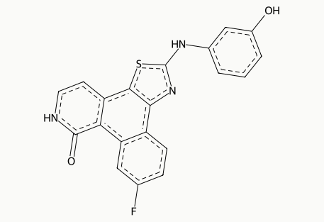 O=c1[nH]ccc2c3sc(Nc4cccc(O)c4)nc3c3ccc(F)cc3c12